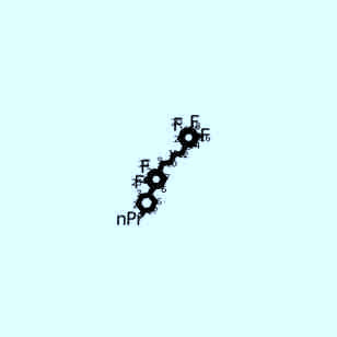 CCCC1CCC(c2ccc(CCCCc3cc(F)c(F)c(F)c3)c(F)c2F)CC1